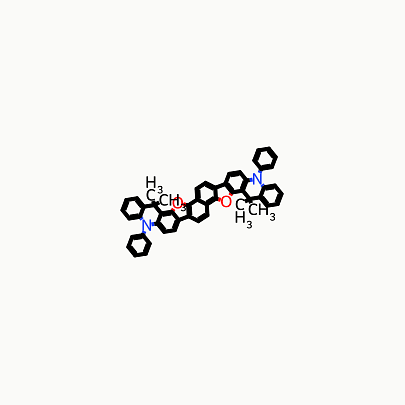 CC1(C)c2ccccc2N(c2ccccc2)c2ccc3c(oc4c3ccc3c4ccc4c5ccc6c(c5oc43)C(C)(C)c3ccccc3N6c3ccccc3)c21